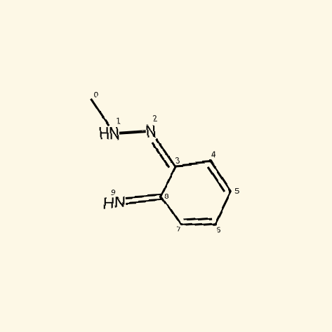 CN/N=C1/C=CC=CC1=N